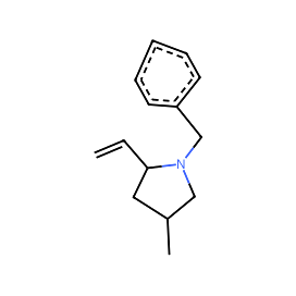 C=CC1CC(C)CN1Cc1ccccc1